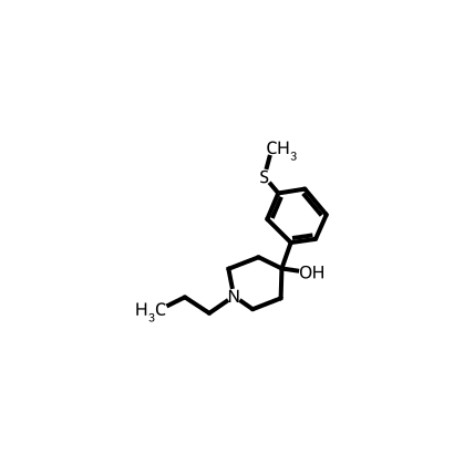 CCCN1CCC(O)(c2cccc(SC)c2)CC1